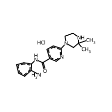 CC1(C)CN(c2ccc(C(=O)Nc3ccccc3N)cn2)CCN1.Cl